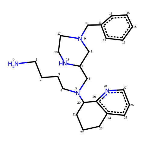 NCCCCN(CC1CN(Cc2ccccc2)CCN1)C1CCCc2cccnc21